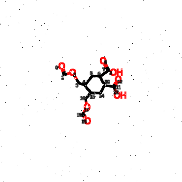 O=COCC1CC(C(=O)O)C(C(=O)O)CC1COC=O